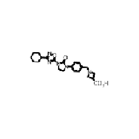 O=C(O)C1CN(Cc2ccc(N3CCN(c4nc(C5CCCCC5)no4)C3=O)cc2)C1